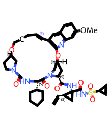 C=C[C@@H]1C[C@]1(NC(=O)[C@@H]1C[C@@H]2CN1C(=O)[C@H](C1CCCCC1)NC(=O)N1CC[C@@H](C1)OCCC/C=C/c1cc3ccc(OC)cc3nc1O2)C(=O)NS(=O)(=O)C1CC1